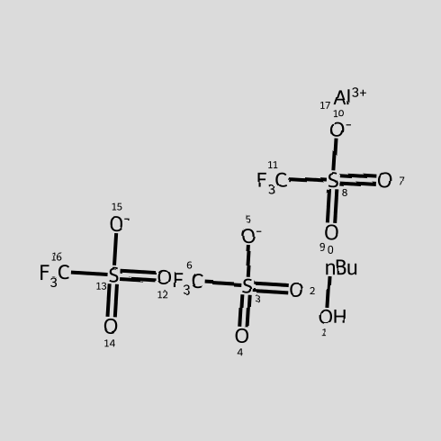 CCCCO.O=S(=O)([O-])C(F)(F)F.O=S(=O)([O-])C(F)(F)F.O=S(=O)([O-])C(F)(F)F.[Al+3]